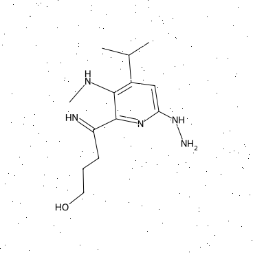 CNc1c(C(C)C)cc(NN)nc1C(=N)CCCO